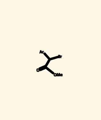 COC(=O)C(Br)C(C)=O